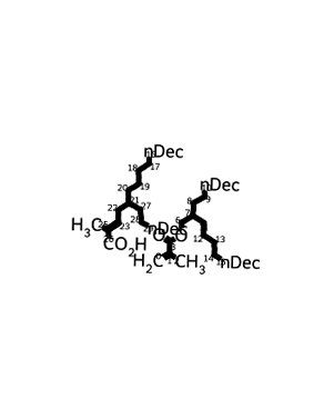 C=C(C)C(=O)OCC(CCCCCCCCCCCC)CCCCCCCCCCCCCC.CCCCCCCCCCCCCCC(CC=C(C)C(=O)O)CCCCCCCCCCCC